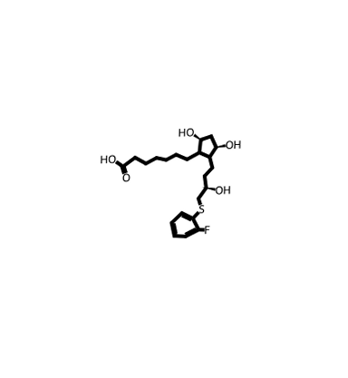 O=C(O)CCCCCCC1C(CC[C@@H](O)CSc2ccccc2F)[C@H](O)C[C@@H]1O